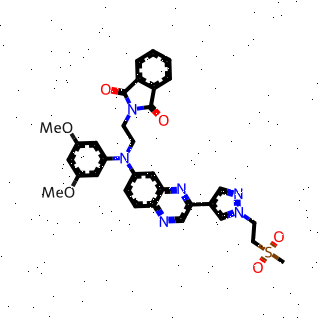 COc1cc(OC)cc(N(CCN2C(=O)c3ccccc3C2=O)c2ccc3ncc(-c4cnn(CCS(C)(=O)=O)c4)nc3c2)c1